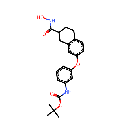 CC(C)(C)OC(=O)Nc1cccc(Oc2ccc3c(c2)CC(C(=O)NO)CC3)c1